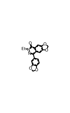 CCn1nc(-c2ccc3c(c2)OCO3)c2cc3c(cc2c1=O)OCO3